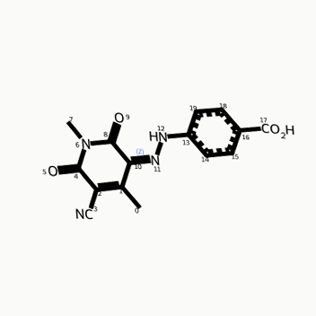 CC1=C(C#N)C(=O)N(C)C(=O)/C1=N\Nc1ccc(C(=O)O)cc1